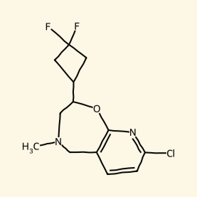 CN1Cc2ccc(Cl)nc2OC(C2CC(F)(F)C2)C1